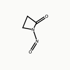 O=NN1CCC1=O